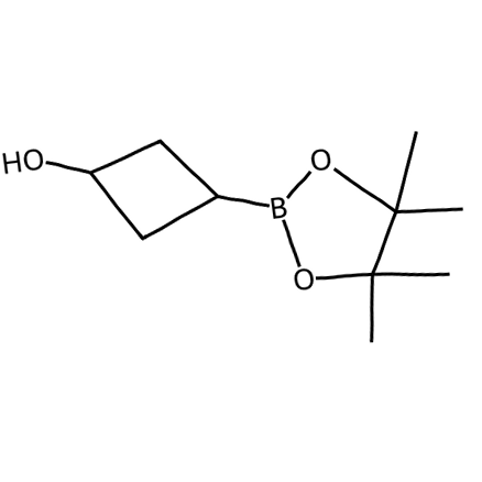 CC1(C)OB(C2CC(O)C2)OC1(C)C